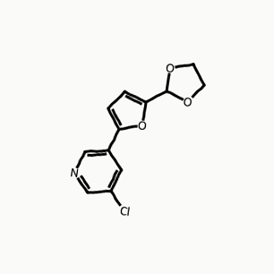 Clc1cncc(-c2ccc(C3OCCO3)o2)c1